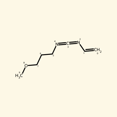 C=CN=C=NCCCOC